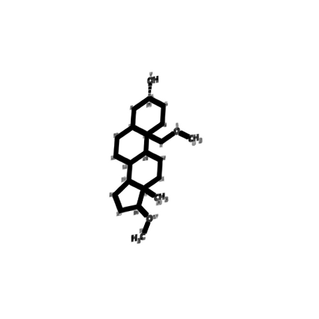 COCC12CC[C@@H](O)CC1CCC1C3CCC(OC)C3(C)CCC12